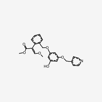 CO/C=C(/C(=O)OC)c1ccccc1COc1cc(O)cc(OCc2ccncc2)c1